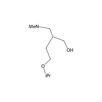 CNCC(CO)CCOC(C)C